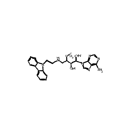 COC(CNCCn1c2ccccc2c2ccccc21)C(O)C(O)n1cnc2c(N)ncnc21